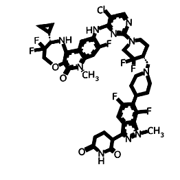 Cn1nc(C2CCC(=O)NC2=O)c2cc(F)c(C3CCN(C[C@H]4CCN(c5ncc(Cl)c(Nc6cc7c8c(c(=O)n(C)c7cc6F)OCC(F)(F)[C@H](C6CC6)N8)n5)CC4(F)F)CC3)c(F)c21